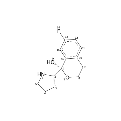 O[C@@]1([C@@H]2CCCN2)OCCc2ccc(F)cc21